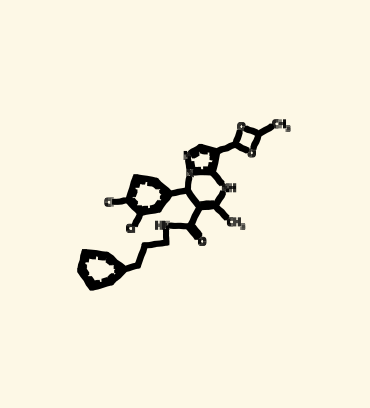 CC1=C(C(=O)NCCCc2ccccc2)C(c2ccc(Cl)c(Cl)c2)n2ncc(C3OC(C)O3)c2N1